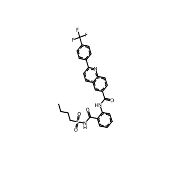 CCCCS(=O)(=O)NC(=O)c1ccccc1NC(=O)c1ccc2nc(-c3ccc(C(F)(F)F)cc3)ccc2c1